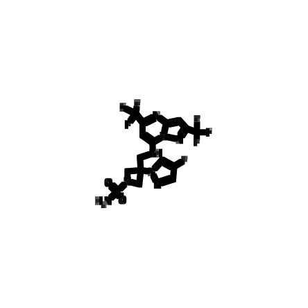 NS(=O)(=O)N1CC(CNc2cc(C(F)(F)F)nc3cc(C(F)(F)F)nn23)(n2cc(F)cn2)C1